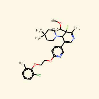 CC1=NC=C(c2ccc(OCCOc3c(C)cccc3Cl)nc2)C(N2CCC(C)(C)CC2)C1(F)C(OC(C)(C)C)C(=O)O